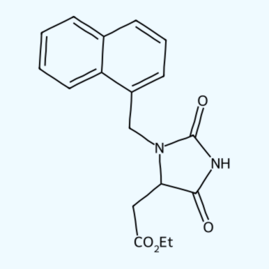 CCOC(=O)CC1C(=O)NC(=O)N1Cc1cccc2ccccc12